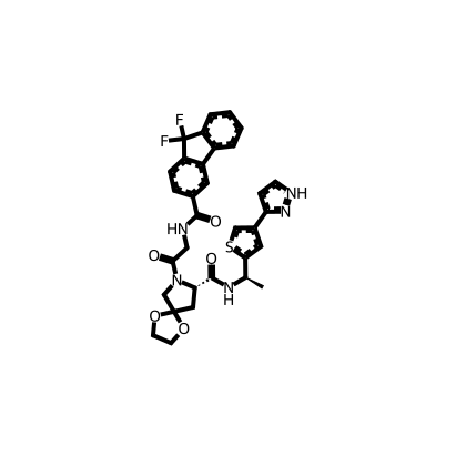 C[C@@H](NC(=O)[C@@H]1CC2(CN1C(=O)CNC(=O)c1ccc3c(c1)-c1ccccc1C3(F)F)OCCO2)c1cc(-c2cc[nH]n2)cs1